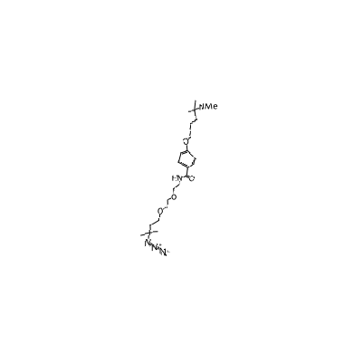 CNC(C)(C)CCCOc1ccc(C(=O)NCCOCCOCCC(C)(C)N=[N+]=[N-])cc1